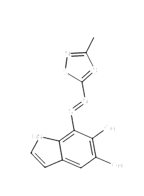 Cc1nsc(/N=N/c2c(O)c(O)cc3cc[nH]c23)n1